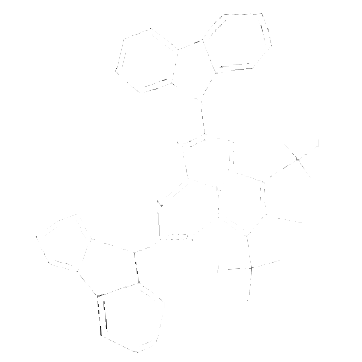 FC1=C(C(F)(F)F)C2=NC(n3c4ccccc4c4ccccc43)=NC3=NC(C4c5ccccc5-c5ccccc54)=NC(=C1C(F)(F)F)N32